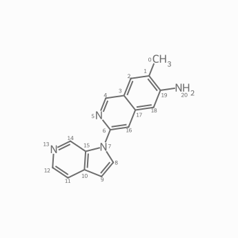 Cc1cc2cnc(-n3ccc4ccncc43)cc2cc1N